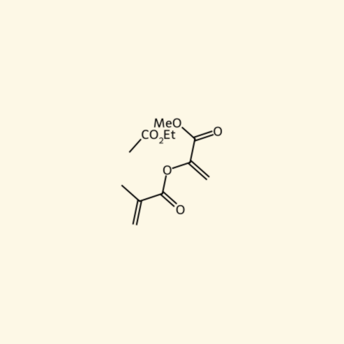 C=C(C)C(=O)OC(=C)C(=O)OC.CCOC(C)=O